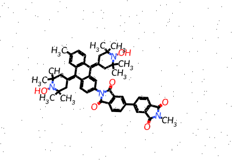 Cc1ccc2c(=C3CC(C)(C)N(O)C(C)(C)C3)c3cc(N4C(=O)c5ccc(-c6ccc7c(c6)C(=O)N(C)C7=O)cc5C4=O)ccc3c(=C3CC(C)(C)N(O)C(C)(C)C3)c2c1